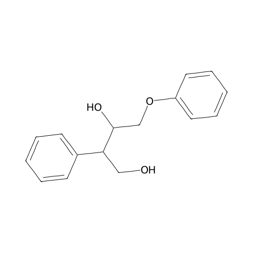 OCC(c1ccccc1)C(O)COc1ccccc1